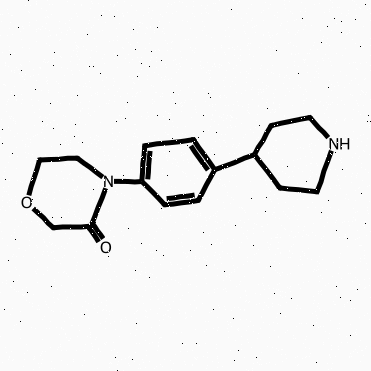 O=C1COCCN1c1ccc(C2CCNCC2)cc1